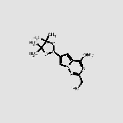 COc1nc(CO)nn2cc(B3OC(C)(C)C(C)(C)O3)cc12